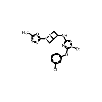 CCn1nc(NC2CN3C2CN3c2nnc(C)o2)nc1Oc1cccc(Cl)c1